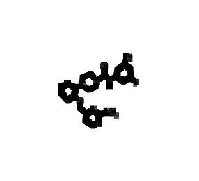 CCc1cc(F)cc(NC(=O)N2CCN(c3ncccc3OCc3ccnc(N)n3)CC2)c1